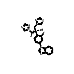 C[C@@H](n1cncn1)[C@](O)(Cn1cncn1)c1ccc(-n2cnc3ccccc32)cc1F